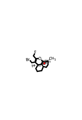 C[C@]12CCC3CCC[C@H]4C(CBr)=C(CF)O[C@H](O1)[C@@]34OO2